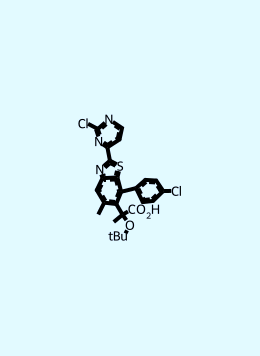 Cc1cc2nc(-c3ccnc(Cl)n3)sc2c(-c2ccc(Cl)cc2)c1C(C)(OC(C)(C)C)C(=O)O